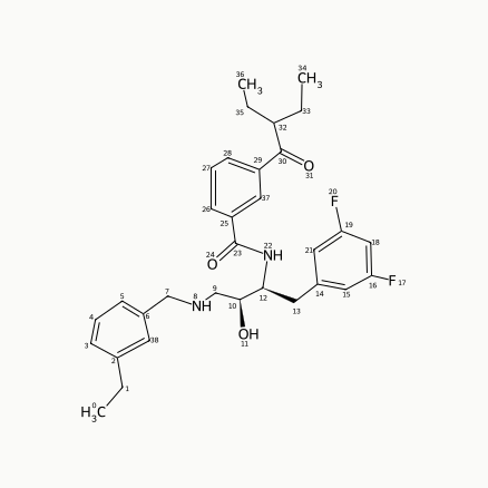 CCc1cccc(CNC[C@H](O)[C@H](Cc2cc(F)cc(F)c2)NC(=O)c2cccc(C(=O)C(CC)CC)c2)c1